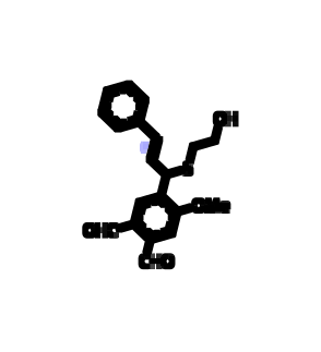 COc1cc(C=O)c(C=O)cc1C(/C=C/c1ccccc1)SCCO